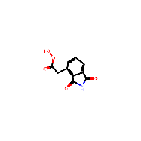 O=C(Cc1cccc2c1C(=O)NC2=O)OO